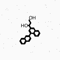 OCCC(O)c1cc(-c2ccc3ccccc3c2)c2ccccc2c1